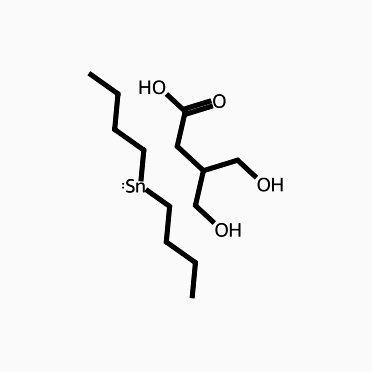 CCC[CH2][Sn][CH2]CCC.O=C(O)CC(CO)CO